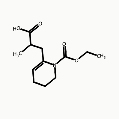 CCOC(=O)N1CCCC=C1CC(C)C(=O)O